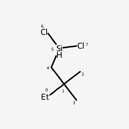 CCC(C)(C)C[SiH](Cl)Cl